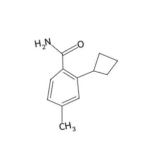 Cc1ccc(C(N)=O)c(C2CCC2)c1